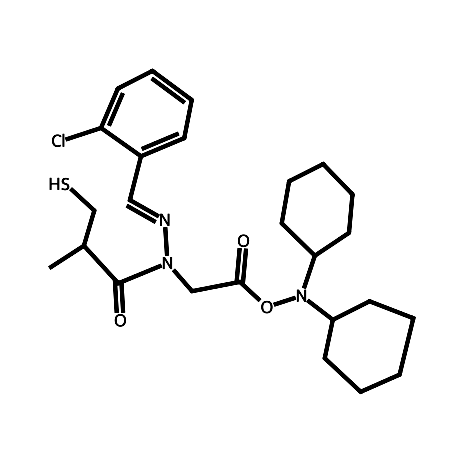 CC(CS)C(=O)N(CC(=O)ON(C1CCCCC1)C1CCCCC1)N=Cc1ccccc1Cl